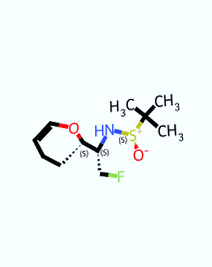 CC(C)(C)[S@@+]([O-])N[C@H](CF)[C@@H]1CCC=CO1